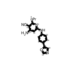 CCCc1nc(Nc2ccc(-c3cnco3)cc2)cc(N)c1C#N